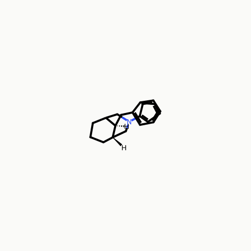 C1=CCC(N2CC3CCC[C@@H](C2)[C@@H]3Cc2ccccc2)=C1